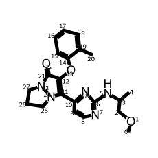 COCC(C)Nc1nccc(-c2c(Oc3ccccc3C)c(=O)n3n2CCC3)n1